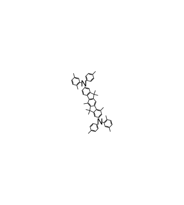 Cc1ccc(N(c2ccc3c(c2)C(C)(C)c2cc4c(c(C)c2-3)C(C)(C)c2cc(N(c3ccc(C)cc3)c3cc(C)ccc3C)cc(C)c2-4)c2cc(C)ccc2C)cc1